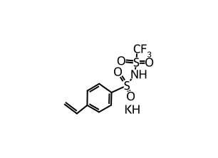 C=Cc1ccc(S(=O)(=O)NS(=O)(=O)C(F)(F)F)cc1.[KH]